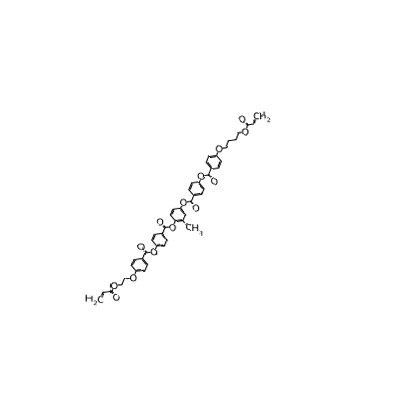 C=CC(=O)OCCCCOc1ccc(C(=O)Oc2ccc(C(=O)Oc3ccc(OC(=O)c4ccc(OC(=O)c5ccc(OCCOC(=O)C=C)cc5)cc4)c(C)c3)cc2)cc1